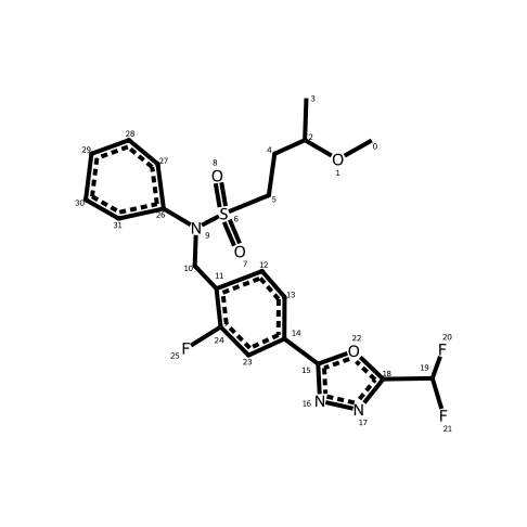 COC(C)CCS(=O)(=O)N(Cc1ccc(-c2nnc(C(F)F)o2)cc1F)c1ccccc1